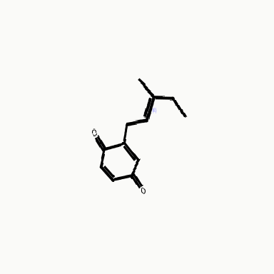 CC/C(C)=C/CC1=CC(=O)C=CC1=O